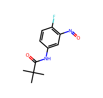 CC(C)(C)C(=O)Nc1ccc(F)c(N=O)c1